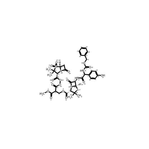 COC(=O)C(COC(=O)[C@@H]1N2C(=O)[C@@H](NC(=O)C(NC(=O)OCc3ccccc3)c3ccc(O)cc3)[C@H]2SC1(C)C)C(=O)OOC(=O)[C@@H]1N2C(=O)C[C@H]2S(=O)(=O)C1(C)C